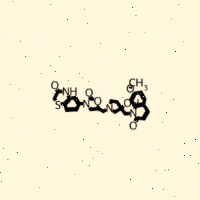 COc1ccc2ccc(=O)n(CC3(O)CCN(CC4CN(c5ccc6c(c5)NC(=O)CS6)C(=O)O4)C3)c2c1